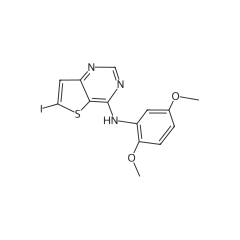 COc1ccc(OC)c(Nc2ncnc3cc(I)sc23)c1